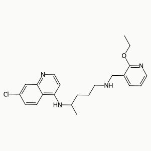 CCOc1ncccc1CNCCCC(C)Nc1ccnc2cc(Cl)ccc12